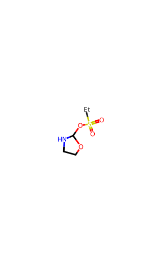 CCS(=O)(=O)OC1NCCO1